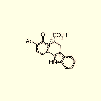 CC(=O)c1ccc2n(c1=O)[C@H](C(=O)O)Cc1c-2[nH]c2ccccc12